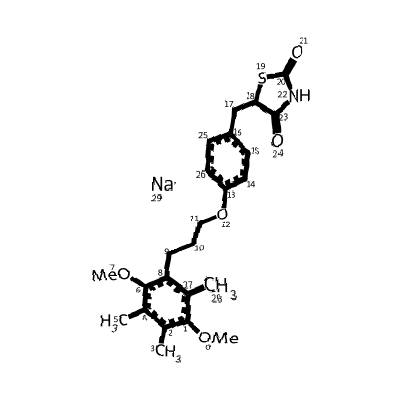 COc1c(C)c(C)c(OC)c(CCCOc2ccc(CC3SC(=O)NC3=O)cc2)c1C.[Na]